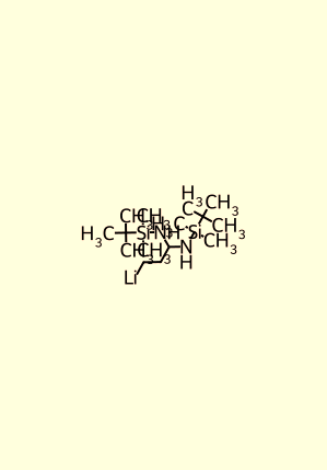 [Li][CH2]CC(N[Si](C)(C)C(C)(C)C)N[Si](C)(C)C(C)(C)C